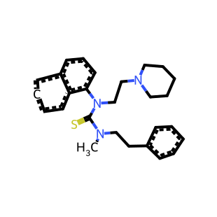 CN(CCc1ccccc1)C(=S)N(CCN1CCCCC1)c1cccc2ccccc12